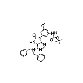 COc1cc(NC(=O)OC(C)(C)C)cc(-n2c(=O)[nH]c3c(N(Cc4ccccc4)Cc4ccccc4)ncnc32)c1